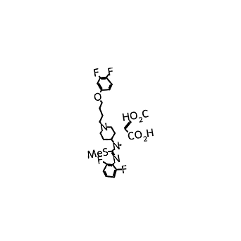 CS/C(=N\c1c(F)cccc1F)N(C)C1CCN(CCCCOc2ccc(F)c(F)c2)CC1.O=C(O)/C=C/C(=O)O